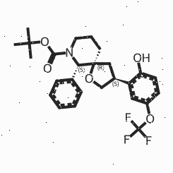 CC(C)(C)OC(=O)N1CCC[C@@]2(C[C@@H](c3cc(OC(F)(F)F)ccc3O)CO2)[C@@H]1c1ccccc1